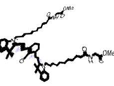 COC(=O)CNC(=O)CCCCCCCCCCN1/C(=C/C=C2\CCCC(/C=C/C3=[N+](CCCCCCCCCCC(=O)NCC(=O)OC)c4ccccc4C3(C)C)=C2Cl)C(C)(C)c2ccccc21